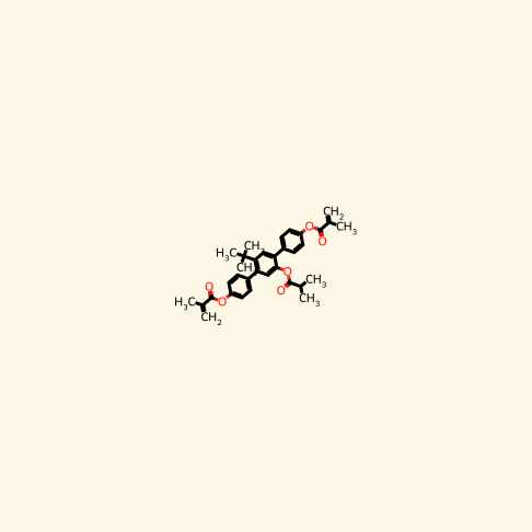 C=C(C)C(=O)Oc1ccc(-c2cc(C(C)(C)C)c(-c3ccc(OC(=O)C(=C)C)cc3)cc2OC(=O)C(C)C)cc1